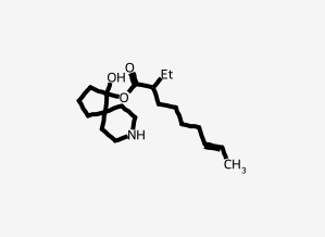 CC=CCCCCC(CC)C(=O)OC1(O)CCCC12CCNCC2